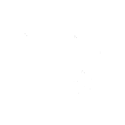 CC(CCN[S+]([O-])C(C)(C)C)Cc1ccc2cc(-c3ccnc(C4CC4)c3)ccc2n1